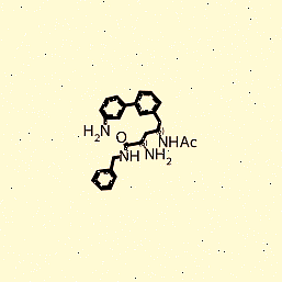 CC(=O)N[C@@H](Cc1cccc(-c2cccc(N)c2)c1)C[C@H](N)C(=O)NCc1ccccc1